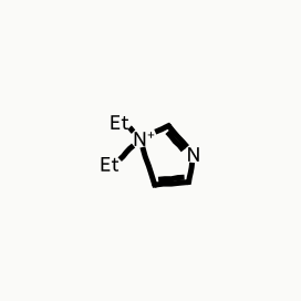 CC[N+]1(CC)C=CN=C1